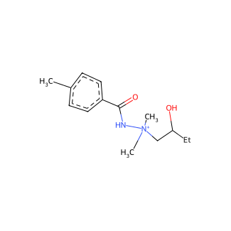 CCC(O)C[N+](C)(C)NC(=O)c1ccc(C)cc1